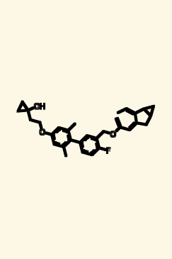 C=C(/C=C1/CC2CC2/C1=C/C)OCc1cc(-c2c(C)cc(OCCC3(O)CC3)cc2C)ccc1F